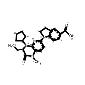 CC[C@@H]1C(=O)N(C)c2ccc(N3CCc4cc(C(=O)O)ccc43)nc2N1C1CCCC1